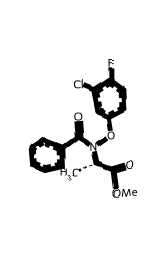 COC(=O)[C@H](C)N(Oc1ccc(F)c(Cl)c1)C(=O)c1ccccc1